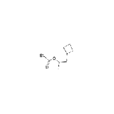 CCC(=O)OC(C)CC1CCC1